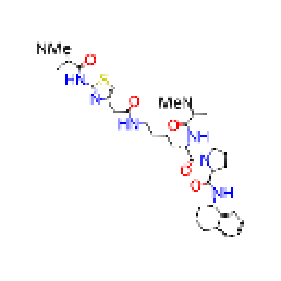 CN[C@@H](C)C(=O)Nc1nc(CC(=O)NCCCC[C@H](NC(=O)[C@H](C)NC)C(=O)N2CCC[C@H]2C(=O)N[C@@H]2CCCc3ccccc32)cs1